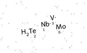 [Mo].[Nb].[TeH2].[V]